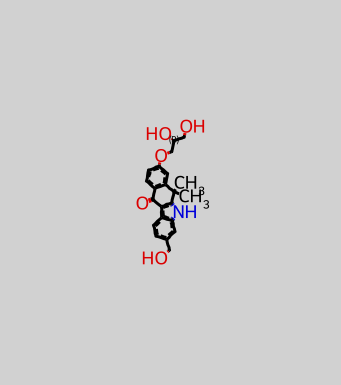 CC1(C)c2cc(OC[C@H](O)CO)ccc2C(=O)c2c1[nH]c1cc(CO)ccc21